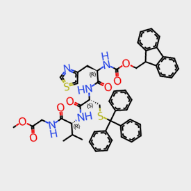 COC(=O)CNC(=O)[C@H](NC(=O)[C@@H](CSC(c1ccccc1)(c1ccccc1)c1ccccc1)NC(=O)[C@@H](Cc1cscn1)NC(=O)OCC1c2ccccc2-c2ccccc21)C(C)C